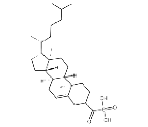 CC(C)CCC[C@@H](C)[C@H]1CC[C@H]2[C@@H]3CC=C4CC(C(=O)P(=O)(O)O)CC[C@]4(C)[C@H]3CC[C@]12C